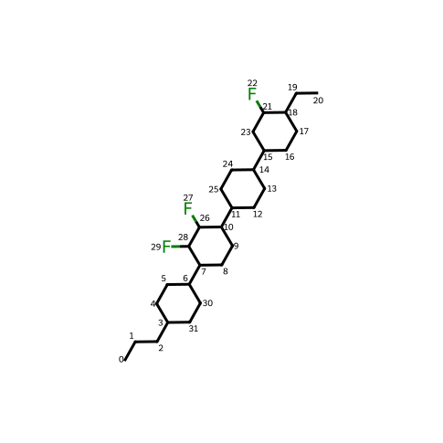 CCCC1CCC(C2CCC(C3CCC(C4CCC(CC)C(F)C4)CC3)C(F)C2F)CC1